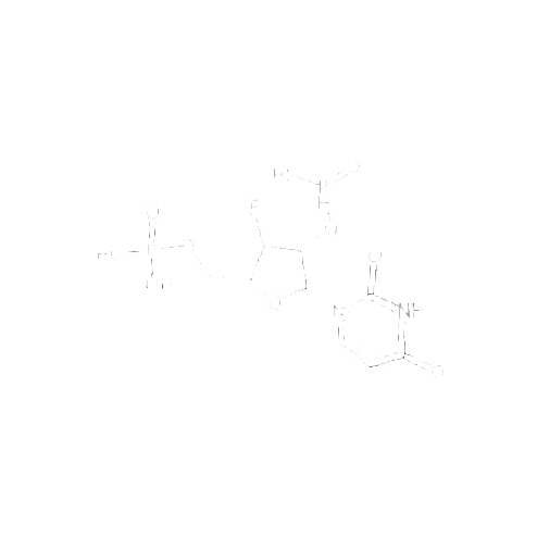 O=c1ccn([C@@H]2O[C@H](COP(=O)(O)O)C(F)[C@@H]2O[PH](=O)S)c(=O)[nH]1